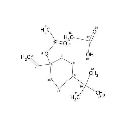 C=CC1(OC(C)=O)CCC(C(C)(C)C)CC1.CC(=O)O